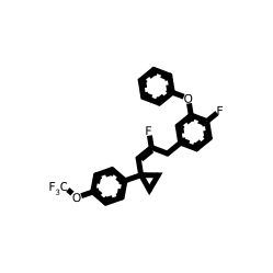 F/C(=C/C1(c2ccc(OC(F)(F)F)cc2)CC1)Cc1ccc(F)c(Oc2ccccc2)c1